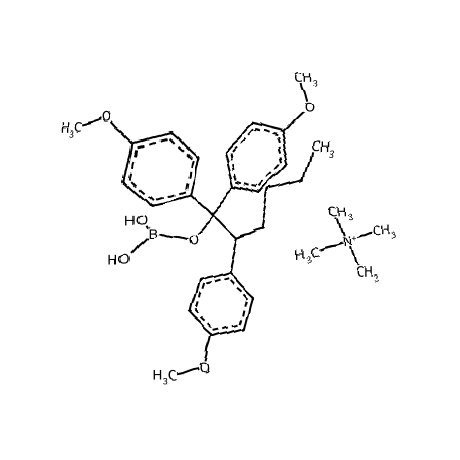 CCCCC(c1ccc(OC)cc1)C(OB(O)O)(c1ccc(OC)cc1)c1ccc(OC)cc1.C[N+](C)(C)C